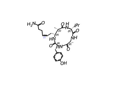 CC(C)[C@H]1NC(=O)[C@@H](C)[C@@H](C/C=C\CCC(N)=O)NC(=O)[C@@H](Cc2ccc(O)cc2)NC(=O)[C@@H](C)NC1=O